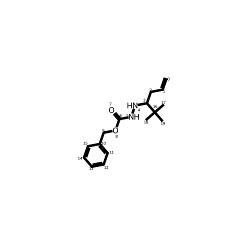 C=CCC(NNC(=O)OCc1ccccc1)C(C)(C)C